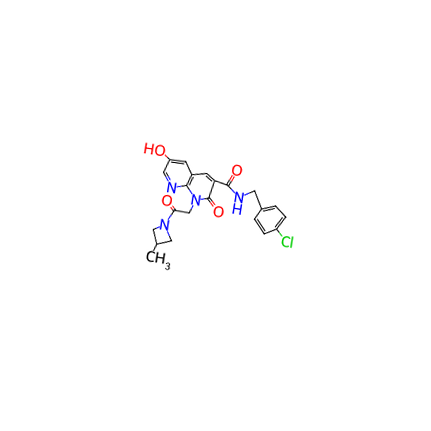 CC1CN(C(=O)Cn2c(=O)c(C(=O)NCc3ccc(Cl)cc3)cc3cc(O)cnc32)C1